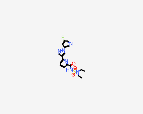 CCN(CC)S(=O)(=O)NC(=O)c1cccc(-c2cnn(-c3cncc(F)c3)c2)n1